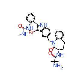 CNC(=O)Nc1ccccc1-c1[nH]c2ccc(CN3C(=O)[C@H](NC(=O)C(C)(C)N)CCc4ccccc43)cc2c1Br